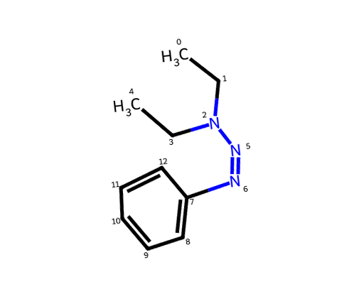 CCN(CC)/N=N\c1ccccc1